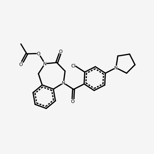 CC(=O)ON1Cc2ccccc2N(C(=O)c2ccc(N3CCCC3)cc2Cl)CC1=O